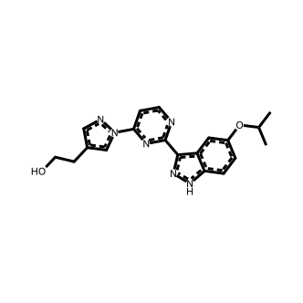 CC(C)Oc1ccc2[nH]nc(-c3nccc(-n4cc(CCO)cn4)n3)c2c1